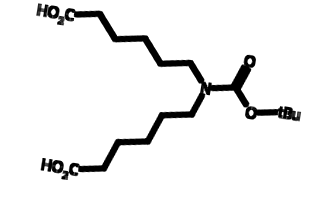 CC(C)(C)OC(=O)N(CCCCCC(=O)O)CCCCCC(=O)O